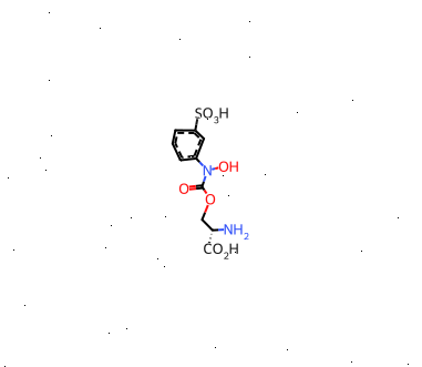 N[C@@H](COC(=O)N(O)c1cccc(S(=O)(=O)O)c1)C(=O)O